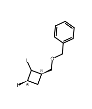 IC1[C@@H](COCc2ccccc2)C[C@H]1I